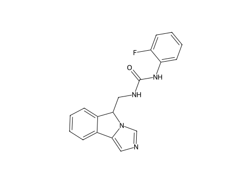 O=C(NCC1c2ccccc2-c2cncn21)Nc1ccccc1F